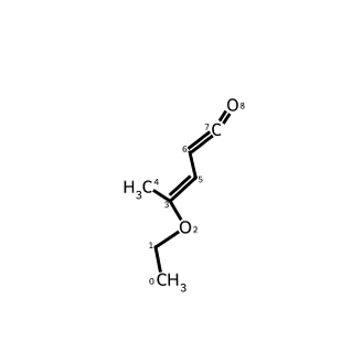 CCO/C(C)=C/C=C=O